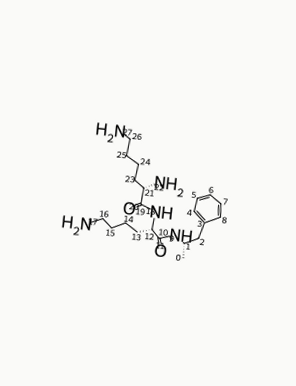 C[C@@H](Cc1ccccc1)NC(=O)[C@H](CCCCN)NC(=O)[C@@H](N)CCCCN